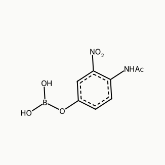 CC(=O)Nc1ccc(OB(O)O)cc1[N+](=O)[O-]